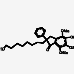 COc1c2c(c(OC)c(OC)c1OC)C(=O)C(CCCCCCCCO)(c1ccccc1)C2